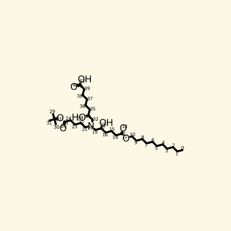 CCCCCCCCCCCOC(=O)CCCC(O)CN(CCCCC(=O)OC(C)(C)C)CC(O)CCCCCC(=O)O